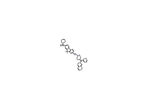 CC1(C)c2cc(/C=C/C3CCC(N(C4=CC=CCC4)C4C=C5CCC=CC5=CC4)CC3)ccc2-c2ccc(NC3CC=CCC3)cc21